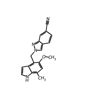 COc1cc(C)c2[nH]ccc2c1Cn1cc2ccc(C#N)cc2n1